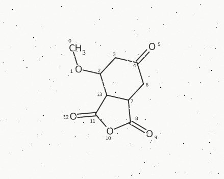 COC1CC(=O)CC2C(=O)OC(=O)C12